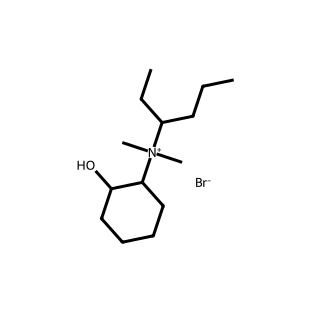 CCCC(CC)[N+](C)(C)C1CCCCC1O.[Br-]